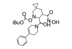 CC(C)COC(=O)ON1CC2(CC2)CC(C(=O)NO)C1C(=O)N1CC=C(c2ccccc2)CC1